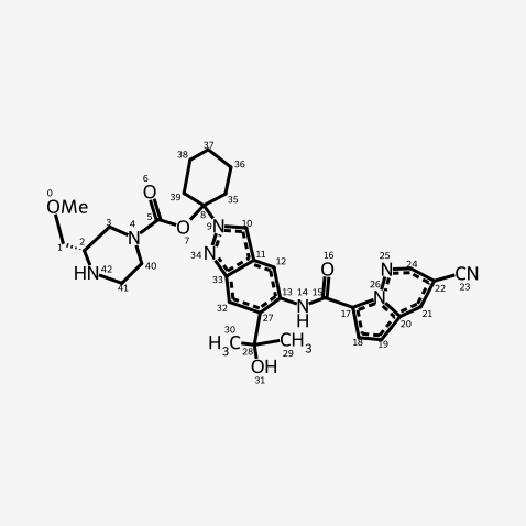 COC[C@@H]1CN(C(=O)OC2(n3cc4cc(NC(=O)c5ccc6cc(C#N)cnn56)c(C(C)(C)O)cc4n3)CCCCC2)CCN1